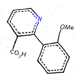 COc1ccccc1-c1ncccc1C(=O)O